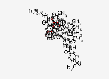 CC(=O)N1CCC(C(=O)NNC(=O)[C@@H](CC(C)C)NC(=O)[C@H](CC(C)C)NC(=O)[C@H](CC(C)C)NC(=O)[C@H](CCc2ccccc2)NC(=O)CN(CCCCN)C(=O)[C@H](CC(C)C)NC(=O)[C@@H]2CCCN2C(C)=O)CC1